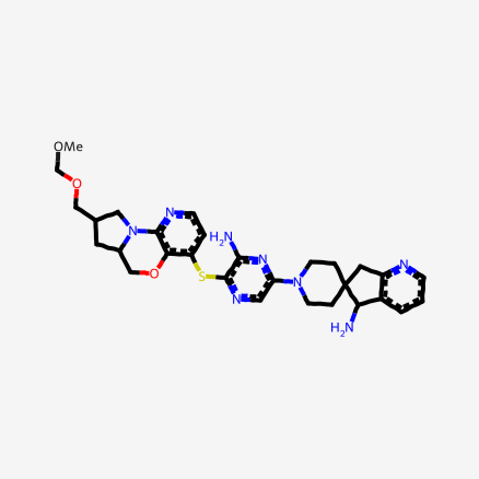 COCOCC1CC2COc3c(Sc4ncc(N5CCC6(CC5)Cc5ncccc5C6N)nc4N)ccnc3N2C1